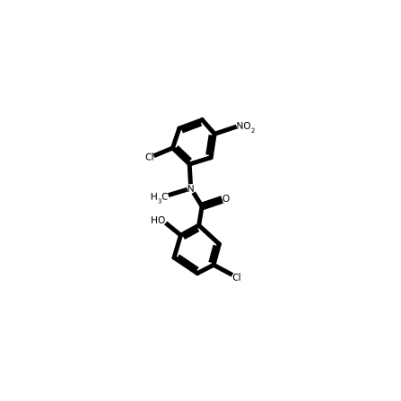 CN(C(=O)c1cc(Cl)ccc1O)c1cc([N+](=O)[O-])ccc1Cl